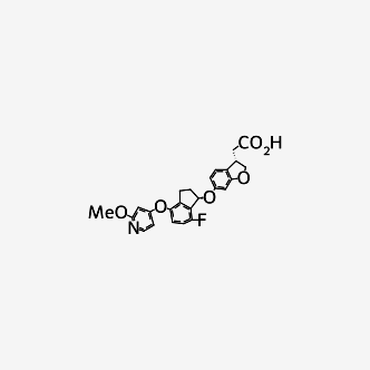 COc1cc(Oc2ccc(F)c3c2CC[C@H]3Oc2ccc3c(c2)OC[C@H]3CC(=O)O)ccn1